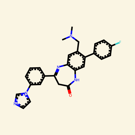 CN(C)Cc1cc2c(cc1-c1ccc(F)cc1)NC(=O)CC(c1cccc(-n3ccnc3)c1)=N2